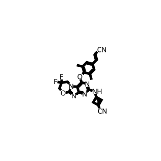 Cc1cc(/C=C/C#N)cc(C)c1Oc1nc(NC23CC(C#N)(C2)C3)nc2nc3n(c12)CC(F)(F)CO3